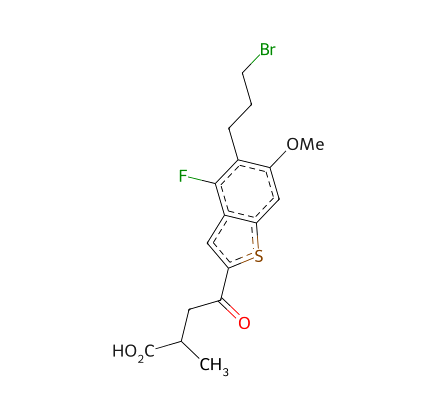 COc1cc2sc(C(=O)CC(C)C(=O)O)cc2c(F)c1CCCBr